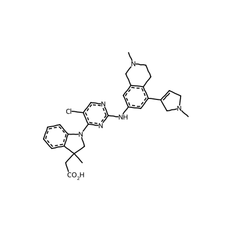 CN1CC=C(c2cc(Nc3ncc(Cl)c(N4CC(C)(CC(=O)O)c5ccccc54)n3)cc3c2CCN(C)C3)C1